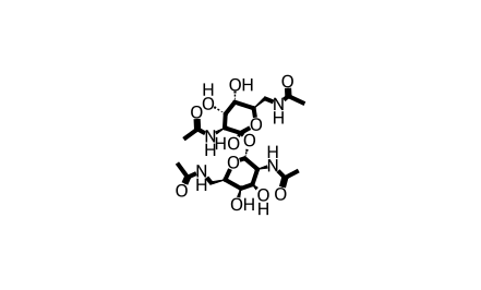 CC(=O)NC[C@H]1O[C@H](O[C@@]2(O)O[C@H](CNC(C)=O)[C@@H](O)[C@@H](O)[C@@H]2NC(C)=O)[C@@H](NC(C)=O)[C@@H](O)[C@H]1O